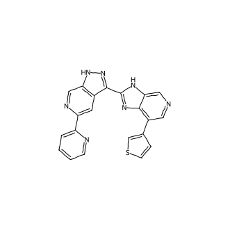 c1ccc(-c2cc3c(-c4nc5c(-c6ccsc6)cncc5[nH]4)n[nH]c3cn2)nc1